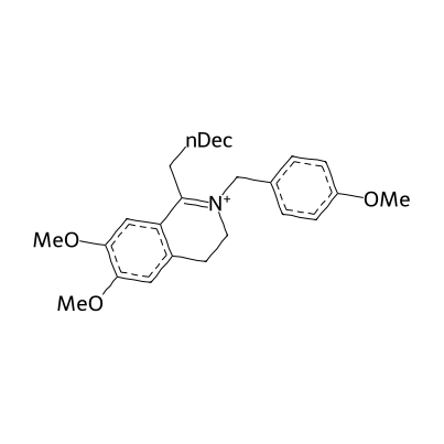 CCCCCCCCCCCC1=[N+](Cc2ccc(OC)cc2)CCc2cc(OC)c(OC)cc21